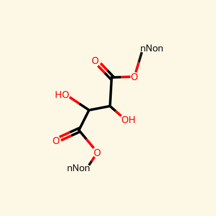 CCCCCCCCCOC(=O)C(O)C(O)C(=O)OCCCCCCCCC